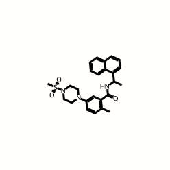 Cc1ccc(N2CCN(S(C)(=O)=O)CC2)cc1C(=O)NC(C)c1cccc2ccccc12